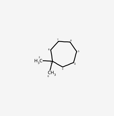 CC1(C)C[CH]CCCC1